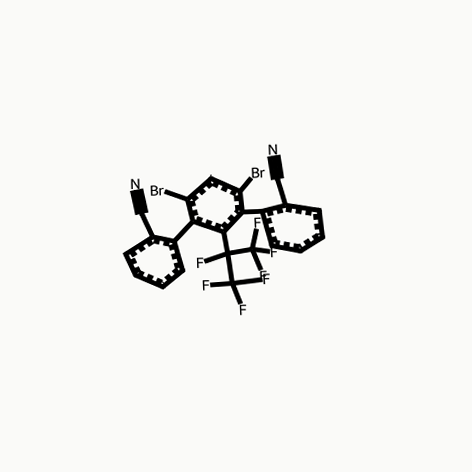 N#Cc1ccccc1-c1c(Br)[c]c(Br)c(-c2ccccc2C#N)c1C(F)(C(F)(F)F)C(F)(F)F